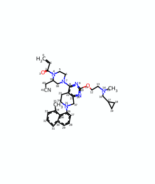 C=CC(=O)N1CCN(c2nc(OCCN(C)CC3CC3)nc3c2CCN(c2cccc4cccc(C)c24)C3)CC1CC#N